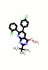 COc1nc(C(C)(C)C)nc2nc(-c3ccccc3Cl)c(-c3ccc(Cl)cc3)cc12